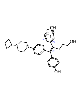 C#C/C=C(\C=C/C)C(/CCCO)=C(/c1ccc(O)cc1)c1ccc(N2CCN(C3CCC3)CC2)cc1